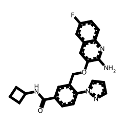 Nc1nc2ccc(F)cc2cc1OCc1cc(C(=O)NC2CCC2)ccc1-n1cccn1